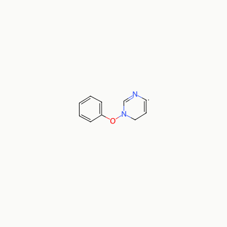 [C]1=CCN(Oc2ccccc2)C=N1